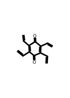 C=CC1=C(C=C)C(=O)C(C=C)=C(C=C)C1=O